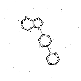 c1ccc(-c2ccc(-n3ccc4ncccc43)cn2)nc1